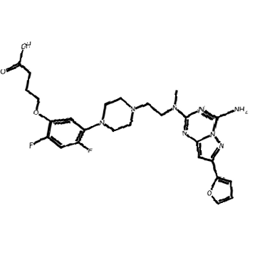 CN(CCN1CCN(c2cc(OCCCC(=O)O)c(F)cc2F)CC1)c1nc(N)n2nc(-c3ccco3)cc2n1